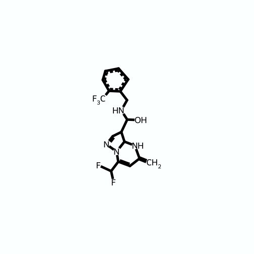 C=C1C=C(C(F)F)N2N=CC(C(O)NCc3ccccc3C(F)(F)F)C2N1